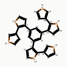 c1cc(-c2sccc2-c2cc(-c3ccsc3-c3ccsc3)cc(-c3ccsc3-c3ccsc3)c2)cs1